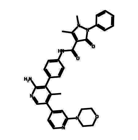 Cc1c(-c2ccnc(N3CCOCC3)c2)cnc(N)c1-c1ccc(NC(=O)c2c(C)n(C)n(-c3ccccc3)c2=O)cc1